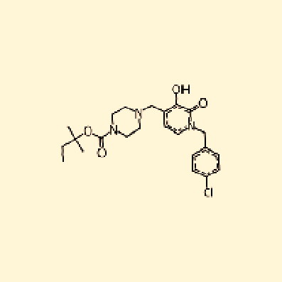 CCC(C)(C)OC(=O)N1CCN(Cc2ccn(Cc3ccc(Cl)cc3)c(=O)c2O)CC1